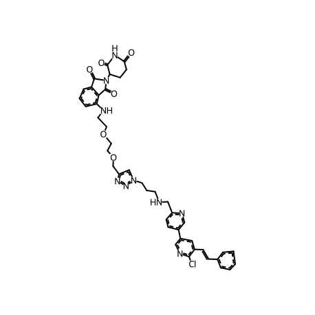 O=C1CCC(N2C(=O)c3cccc(NCCOCCOCc4cn(CCCNCc5ccc(-c6cnc(Cl)c(/C=C/c7ccccc7)c6)cn5)nn4)c3C2=O)C(=O)N1